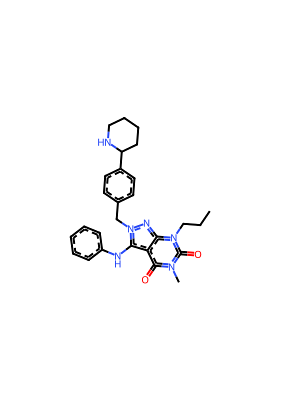 CCCn1c(=O)n(C)c(=O)c2c(Nc3ccccc3)n(Cc3ccc(C4CCCCN4)cc3)nc21